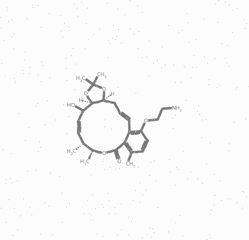 Cc1ccc(OCCN)c2c1C(=O)O[C@@H](C)[C@H](C)/C=C\C(O)[C@H]1OC(C)(C)O[C@H]1C/C=C/2